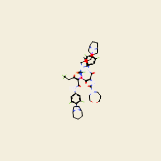 CC1(CC2CC3CCC(C2)N3c2c(F)cc(NC(=O)c3nc(N4CCCOCC4)oc3CC(F)(F)F)cc2F)CN(c2nc(C(=O)Nc3cc(F)c(N4C5CCCC4CC5)c(F)c3)c(CC(F)(F)F)o2)C1